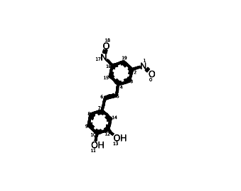 O=Nc1cc(/C=C/c2ccc(O)c(O)c2)cc(N=O)c1